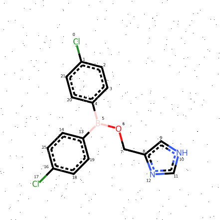 Clc1ccc(B(OCc2c[nH]cn2)c2ccc(Cl)cc2)cc1